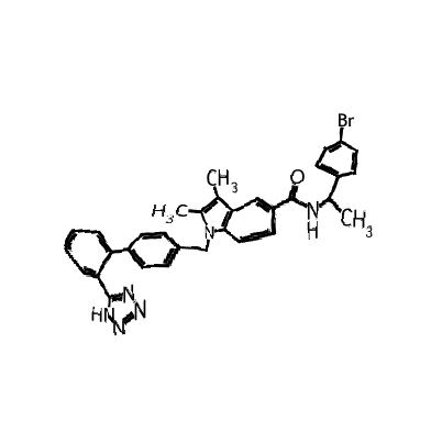 Cc1c(C)n(Cc2ccc(-c3ccccc3-c3nnn[nH]3)cc2)c2ccc(C(=O)NC(C)c3ccc(Br)cc3)cc12